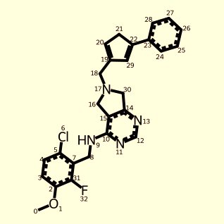 COc1ccc(Cl)c(CNc2ncnc3c2CN(CC2=CCC(c4ccccc4)=C2)C3)c1F